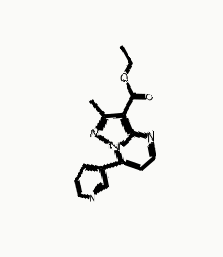 CCOC(=O)c1c(C)nn2c(-c3cccnc3)ccnc12